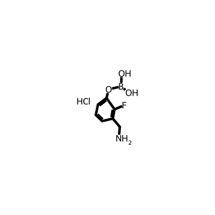 Cl.NCc1cccc(OB(O)O)c1F